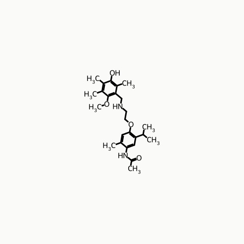 COc1c(C)c(C)c(O)c(C)c1CNCCOc1cc(C)c(NC(C)=O)cc1C(C)C